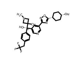 CN1CC(C)([C@](O)(c2ccc(CC(F)(F)F)cc2)c2cncc(-c3noc([C@H]4CC[C@@H](O)CC4)n3)c2)C1